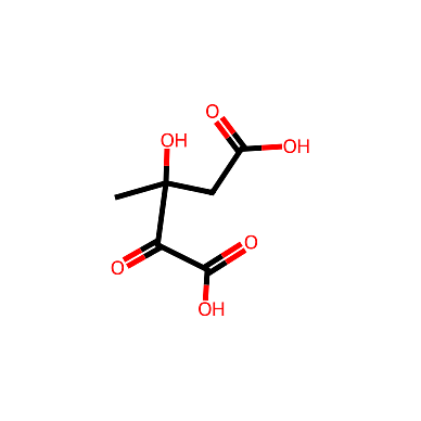 CC(O)(CC(=O)O)C(=O)C(=O)O